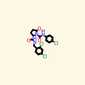 O=C(NCc1ccc(Cl)cc1Cl)[C@@H]1CCC(=O)N1C(=O)Nc1ccc(Cl)cc1